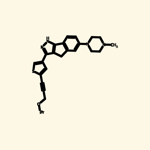 CC(C)OCC#Cc1cc(-c2n[nH]c3c2Cc2cc(N4CCN(C)CC4)ccc2-3)cs1